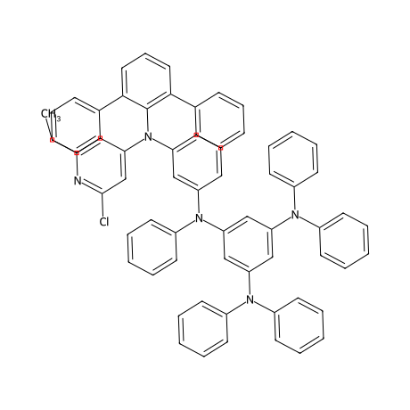 CCc1cc(N(c2cccc(N(c3ccccc3)c3cc(N(c4ccccc4)c4ccccc4)cc(N(c4ccccc4)c4ccccc4)c3)c2)c2c(-c3ccccc3)cccc2-c2ccccc2)cc(Cl)n1